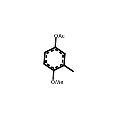 COc1ccc(OC(C)=O)cc1C